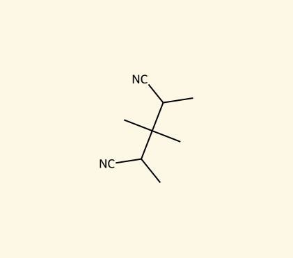 CC(C#N)C(C)(C)C(C)C#N